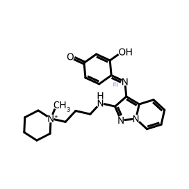 C[N+]1(CCCNc2nn3ccccc3c2/N=C2\C=CC(=O)C=C2O)CCCCC1